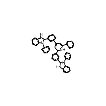 C1=C(c2ccccc2)NC(c2cccc(C3Nc4ccccc4N3c3ccccc3)c2)N=C1c1cccc(C2Nc3ccccc3N2c2ccccc2)c1